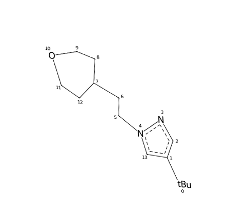 CC(C)(C)c1cnn(CCC2CCOCC2)c1